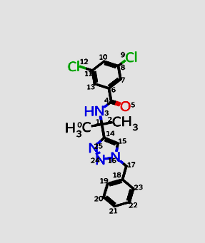 CC(C)(NC(=O)c1cc(Cl)cc(Cl)c1)c1cn(Cc2ccccc2)nn1